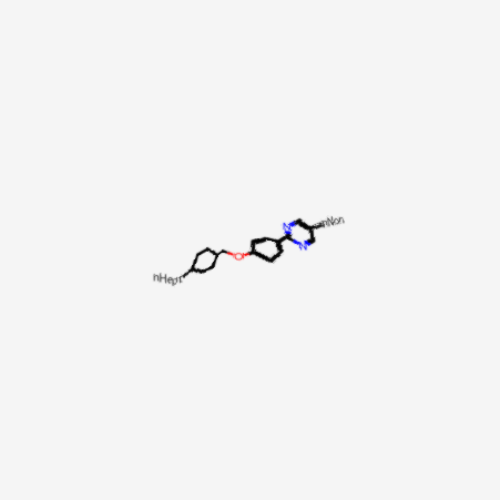 CCCCCCCCCc1cnc(-c2ccc(OCC3CCC(CCCCCCC)CC3)cc2)nc1